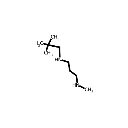 CNCCCNCC(C)(C)C